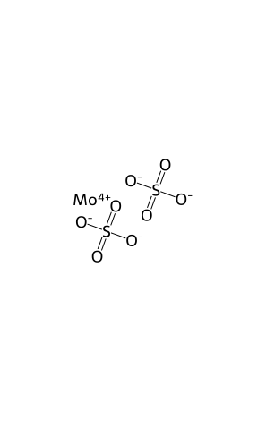 O=S(=O)([O-])[O-].O=S(=O)([O-])[O-].[Mo+4]